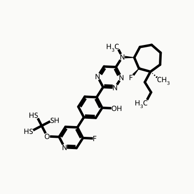 CCC[C@]1(C)CCCC[C@H](N(C)c2cnc(-c3ccc(-c4cc(OC(S)(S)S)ncc4F)cc3O)nn2)[C@@H]1F